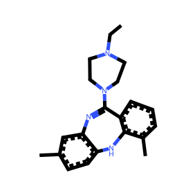 CCN1CCN(C2=Nc3cc(C)ccc3Nc3c(C)cccc32)CC1